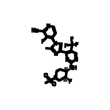 Cc1nc(-c2nc(N[C@H]3CCN(S(C)(=O)=O)C[C@H]3F)ncc2C(F)(F)F)cn1-c1ccnc(C#N)c1F